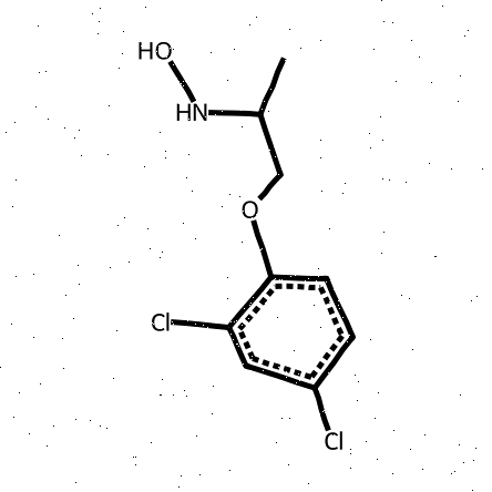 CC(COc1ccc(Cl)cc1Cl)NO